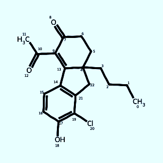 CCCCC12CCC(=O)C(C(C)=O)=C1c1ccc(O)c(Cl)c1C2